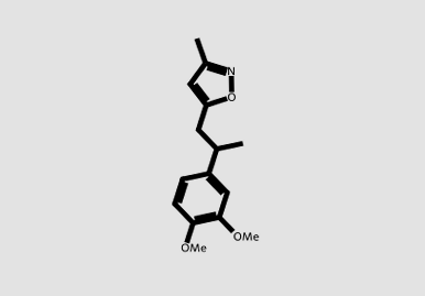 COc1ccc(C(C)Cc2cc(C)no2)cc1OC